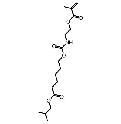 C=C(C)C(=O)OCCNC(=O)OCCCCCC(=O)OCC(C)C